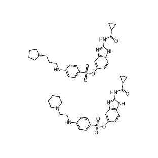 O=C(Nc1nc2cc(OS(=O)(=O)c3ccc(NCCCN4CCCC4)cc3)ccc2[nH]1)C1CC1.O=C(Nc1nc2cc(OS(=O)(=O)c3ccc(NCCN4CCCCC4)cc3)ccc2[nH]1)C1CC1